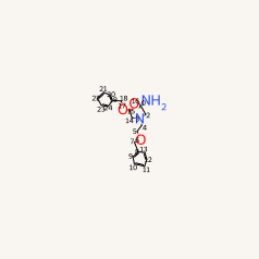 NCCN(CCOCc1ccccc1)CC(=O)OCc1ccccc1